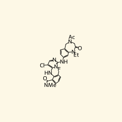 CCN1C(=O)CN(C(C)=O)Cc2ccc(Nc3ncc(Cl)c(Nc4c(F)cccc4C(=O)NC)n3)cc21